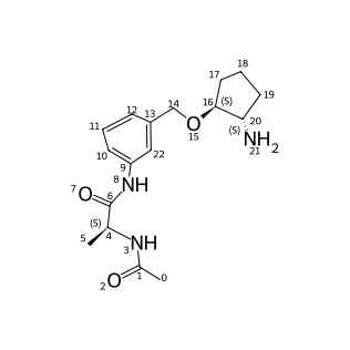 CC(=O)N[C@@H](C)C(=O)Nc1cccc(CO[C@H]2CCC[C@@H]2N)c1